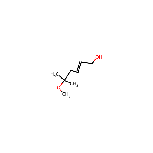 COC(C)(C)CC=CCO